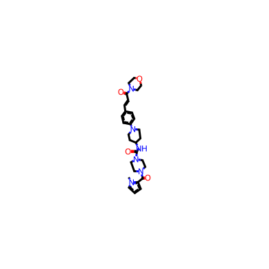 Cn1cccc1C(=O)N1CCN(C(=O)NC2CCN(c3ccc(C=CC(=O)N4CCOCC4)cc3)CC2)CC1